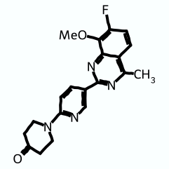 COc1c(F)ccc2c(C)nc(-c3ccc(N4CCC(=O)CC4)nc3)nc12